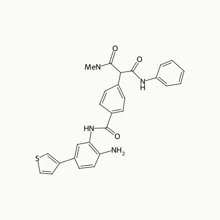 CNC(=O)C(C(=O)Nc1ccccc1)c1ccc(C(=O)Nc2cc(-c3ccsc3)ccc2N)cc1